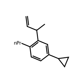 C=C[C](C)c1cc(C2CC2)ccc1CCC